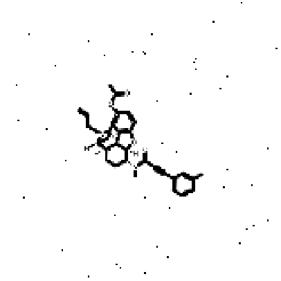 C=CCN1CC[C@@]23c4c5ccc(OC(C)=O)c4C[C@@H]1[C@@H]2CC[C@@H](N(C)C(=O)C#Cc1cccc(C)c1)[C@@H]3O5